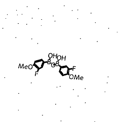 COc1ccc(B(O)OB(O)c2ccc(OC)c(F)c2)cc1F